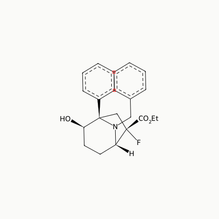 CCOC(=O)[C@]1(F)C[C@@]2(c3ccccc3)[C@H](O)CC[C@@H]1N2Cc1ccccc1